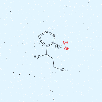 CCCCCCCCCCC(C)c1ccccc1C.OO